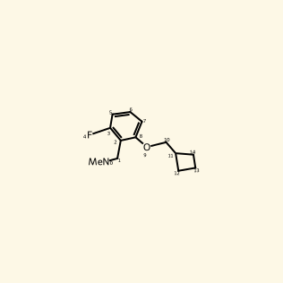 CNCc1c(F)cccc1OCC1CCC1